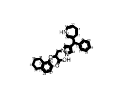 O=C(O)C(Cn1cc(C(C2=CNC=CC=C2)c2ccccc2)cn1)Oc1cccc2c1CCCC2